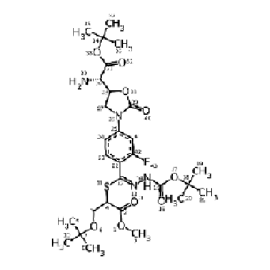 COC(=O)C(COC(C)(C)C)S/C(=N/NC(=O)OC(C)(C)C)c1ccc(N2CC([C@H](N)C(=O)OC(C)(C)C)OC2=O)cc1F